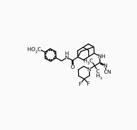 CC(C)(/C(=N\C#N)NC1C2CC3CC1CC(C(=O)NCc1ccc(C(=O)O)cc1)(C3)C2)N1CCCC(F)(F)C1